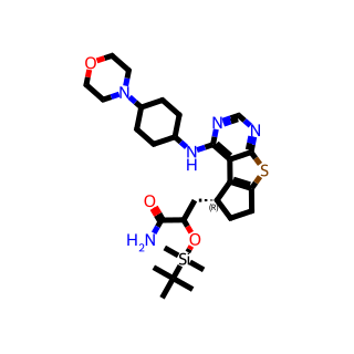 CC(C)(C)[Si](C)(C)OC(C[C@H]1CCc2sc3ncnc(NC4CCC(N5CCOCC5)CC4)c3c21)C(N)=O